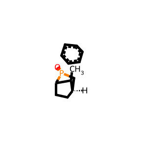 CC1C2CC[C@@H]1C[P@]2(=O)c1ccccc1